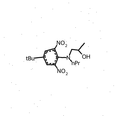 CCCN(CC(C)O)c1c([N+](=O)[O-])cc(C(C)(C)C)cc1[N+](=O)[O-]